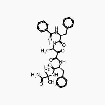 CC(NC(=O)[C@H](Cc1ccccc1)NC(=O)c1ccccc1)C(=O)C(=O)N[C@@H](Cc1ccccc1)C(=O)NC(C)(C)C(N)=O